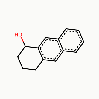 OC1CCCc2cc3ccccc3cc21